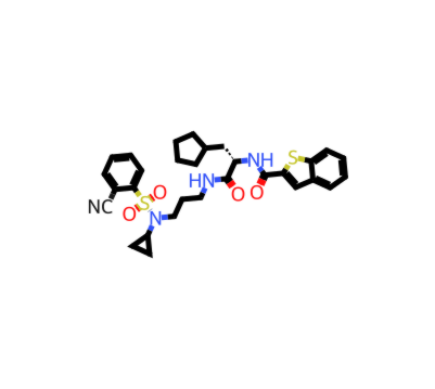 N#Cc1ccccc1S(=O)(=O)N(CCCNC(=O)[C@H](CC1CCCC1)NC(=O)c1cc2ccccc2s1)C1CC1